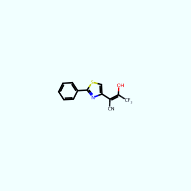 N#CC(=C(O)C(F)(F)F)c1csc(-c2ccccc2)n1